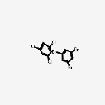 Brc1cc(Br)cc(Br)c1.Clc1cc(Cl)cc(Cl)c1